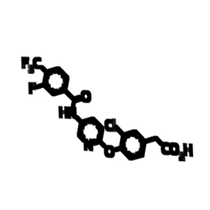 O=C(O)Cc1ccc(Oc2ccc(NC(=O)c3ccc(C(F)(F)F)c(F)c3)cn2)c(Cl)c1